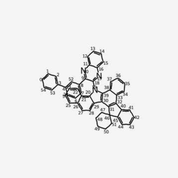 c1ccc(-c2cccc(-c3nc4ccccc4nc3-n3c4c5ccccc5ccc4c4c5c(c6ccccc6c43)-c3ccccc3C53CCCCC3)c2)cc1